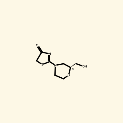 O=C1CSC(N2CCO[C@@H](CO)C2)=N1